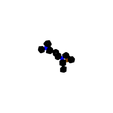 c1ccc(-c2ccc(N(c3ccc4cc(-c5ccc6c(c5)c5ccccc5n6-c5ccccc5)ccc4c3)c3cccc4c3sc3ccccc34)cc2)cc1